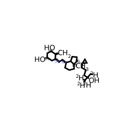 [2H]CC(O)(CCCC1([C@H]2CCC3/C(=C/C=C4/C[C@@H](O)C[C@H](O)C4=C)CCC[C@@]32C)CC1)C([2H])([2H])[2H]